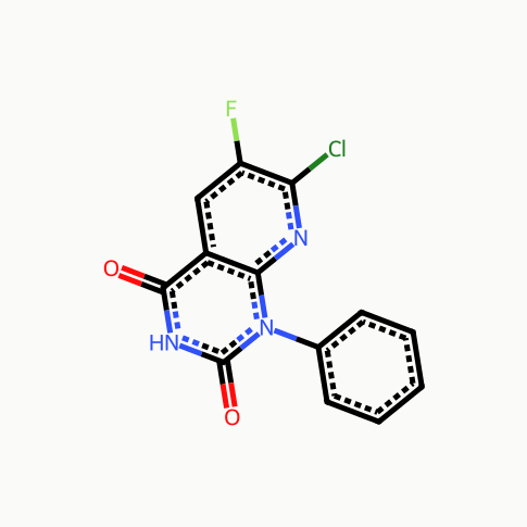 O=c1[nH]c(=O)n(-c2ccccc2)c2nc(Cl)c(F)cc12